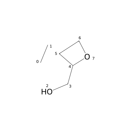 CC.OCC1CCO1